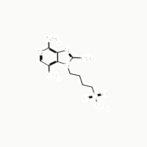 CCCCc1nc2c(N)ncc(C)c2n1CCCCS(C)(=O)=O